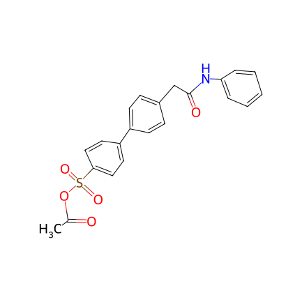 CC(=O)OS(=O)(=O)c1ccc(-c2ccc(CC(=O)Nc3ccccc3)cc2)cc1